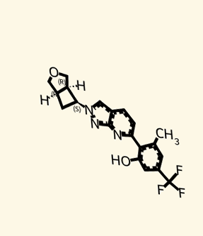 Cc1cc(C(F)(F)F)cc(O)c1-c1ccc2cn([C@H]3C[C@H]4COC[C@H]43)nc2n1